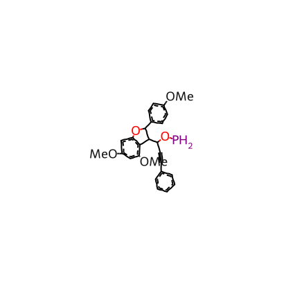 COc1ccc(C2Oc3cc(OC)cc(OC)c3C2C(C#Cc2ccccc2)OP)cc1